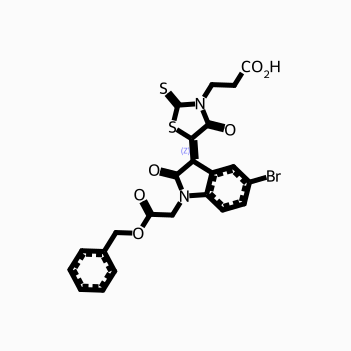 O=C(O)CCN1C(=O)/C(=C2/C(=O)N(CC(=O)OCc3ccccc3)c3ccc(Br)cc32)SC1=S